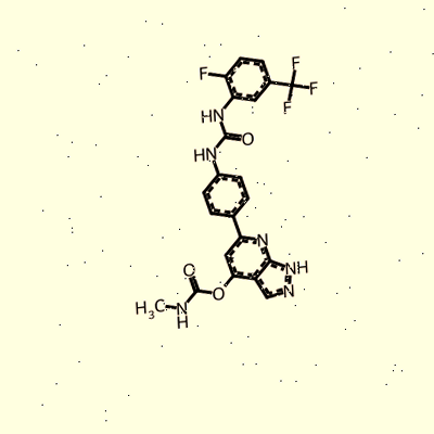 CNC(=O)Oc1cc(-c2ccc(NC(=O)Nc3cc(C(F)(F)F)ccc3F)cc2)nc2[nH]ncc12